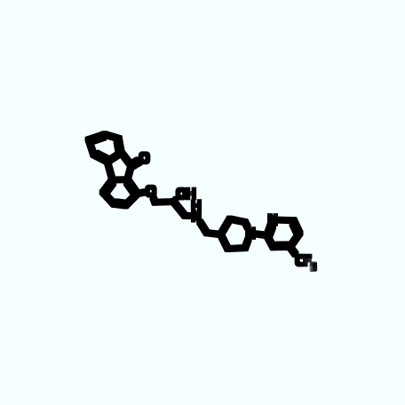 O=C1c2ccccc2-c2cccc(OC[C@@H](O)CNCC3CCN(c4cc(C(F)(F)F)ccn4)CC3)c21